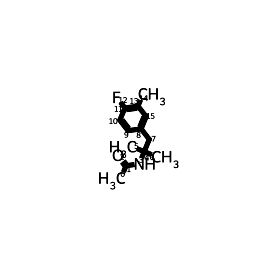 CC(=O)NC(C)(C)Cc1ccc(F)c(C)c1